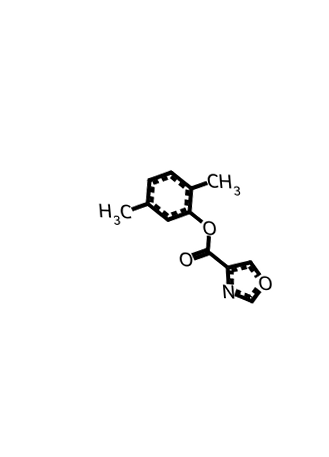 Cc1ccc(C)c(OC(=O)c2cocn2)c1